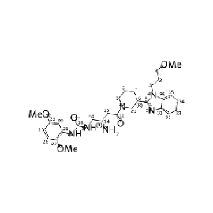 COCCCn1c([C@@H]2CCCN(C(=O)C[C@@H](N)CNC(=O)Nc3cc(OC)ccc3OC)C2)nc2ccccc21